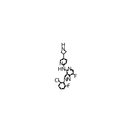 Fc1cccc(Cl)c1-n1cc2c(Nc3ccc(C4CNC4)cn3)ncc(F)c2n1